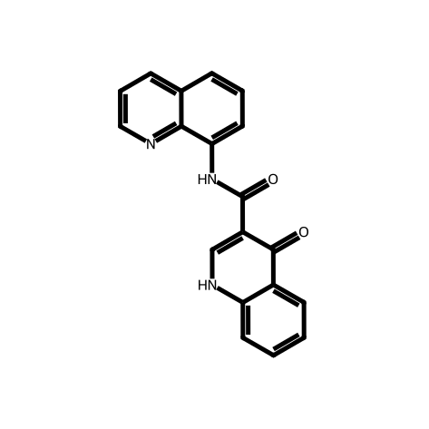 O=C(Nc1cccc2cccnc12)c1c[nH]c2ccccc2c1=O